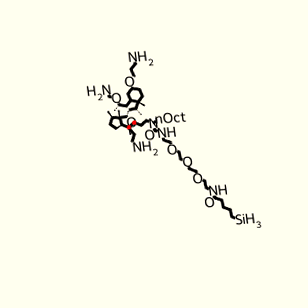 CCCCCCCCN(CCC[C@@H](C)[C@H]1CC[C@@H](C)[C@]1(C)[C@H](C[C@@H](C)[C@@]1(C)CC[C@@H](OCCCN)CC1C[C@H](C)OCN)OCCCN)C(=O)NCCOCCOCCOCCNC(=O)CCCC[SiH3]